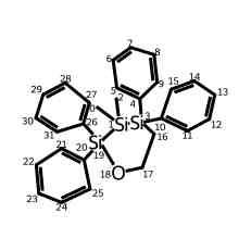 C[Si]1(C)[Si](c2ccccc2)(c2ccccc2)CCO[Si]1(c1ccccc1)c1ccccc1